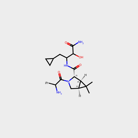 CC(C)C(N)C(=O)N1C[C@H]2[C@@H]([C@H]1C(=O)NC(CC1CC1)C(O)C(N)=O)C2(C)C